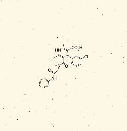 CC1=C(C(=O)O)C(c2cccc(Cl)c2)C(C(=O)NCC(=O)Nc2ccccc2)=C(C)N1